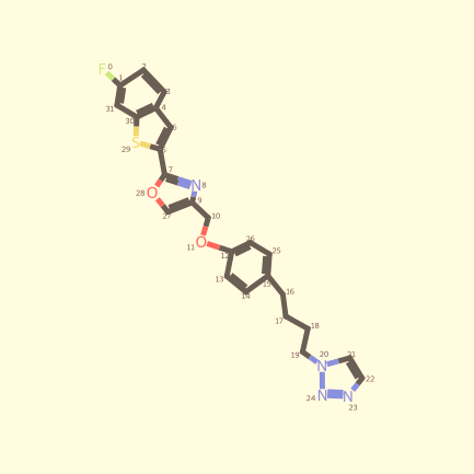 Fc1ccc2cc(-c3nc(COc4ccc(CCCCn5ccnn5)cc4)co3)sc2c1